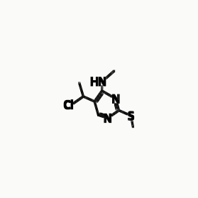 CNc1nc(SC)ncc1C(C)Cl